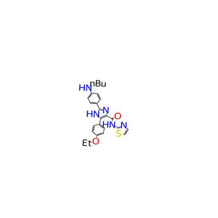 CCCCNc1ccc(-c2nc(C(=O)Nc3nccs3)c(-c3ccc(OCC)cc3)[nH]2)cc1